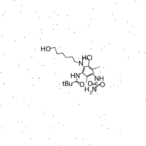 Cc1c2c(c(NC(=O)C(C)(C)C)c(C)c1NS(N)(=O)=O)N(CCCCCCO)CC2.Cl